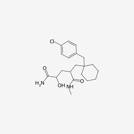 CNC(=O)C(CC(O)C(N)=O)CC1(Cc2ccc(Cl)cc2)CCCCC1